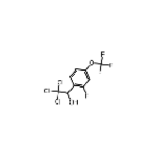 OC(c1ccc(OC(F)(F)F)cc1F)C(Cl)(Cl)Cl